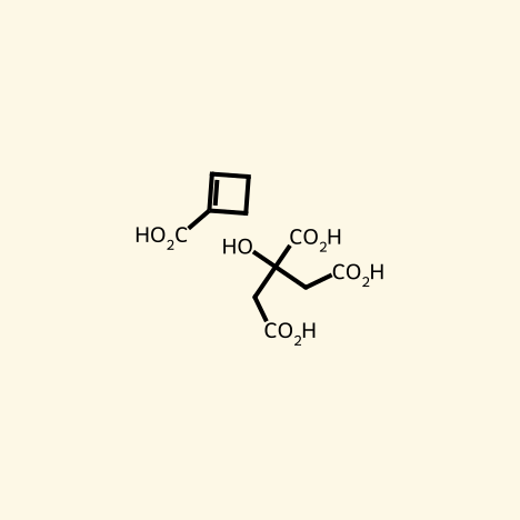 O=C(O)C1=CCC1.O=C(O)CC(O)(CC(=O)O)C(=O)O